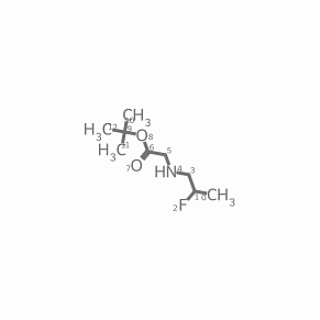 CC(F)CNCC(=O)OC(C)(C)C